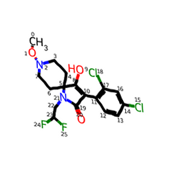 CON1CCC2(CC1)C(O)=C(c1ccc(Cl)cc1Cl)C(=O)N2CC(F)F